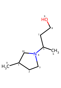 CC1CCN(C(C)CCO)C1